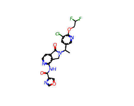 CC(c1cnc(OCC(F)F)c(Cl)c1)N1Cc2c(ccnc2NC(=O)c2cocn2)C1=O